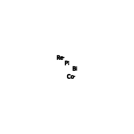 [B].[Co].[P].[Re]